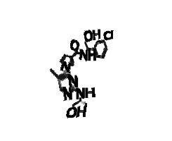 CC[C@H](CO)Nc1ncc(C)c(-n2ccc(C(=O)NC(CO)c3cccc(Cl)c3)c2)n1